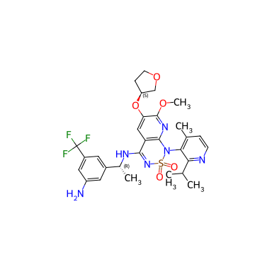 COc1nc2c(cc1O[C@H]1CCOC1)C(N[C@H](C)c1cc(N)cc(C(F)(F)F)c1)=NS(=O)(=O)N2c1c(C)ccnc1C(C)C